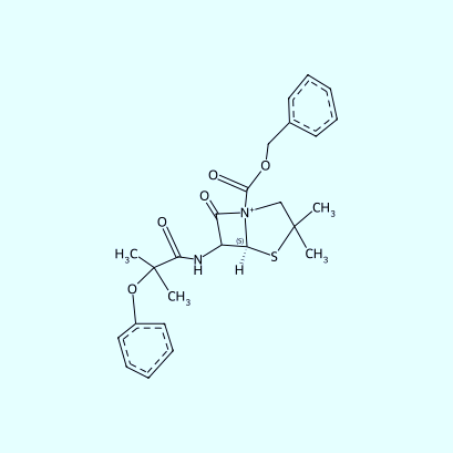 CC1(C)C[N+]2(C(=O)OCc3ccccc3)C(=O)C(NC(=O)C(C)(C)Oc3ccccc3)[C@@H]2S1